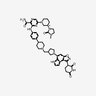 CN1CCN([C@@H]2CCCN(c3cnc(C(N)=O)c(Nc4ccc(C5CCN(CC6CCN(c7cc8onc(C9CCC(=O)NC9=O)c8c8cc[nH]c78)C6)CC5)cc4)n3)C2)C1=O